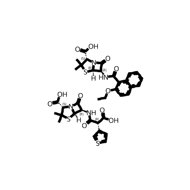 CC1(C)S[C@@H]2[C@H](NC(=O)[C@H](C(=O)O)c3ccsc3)C(=O)N2[C@H]1C(=O)O.CCOc1ccc2ccccc2c1C(=O)N[C@@H]1C(=O)N2[C@@H]1SC(C)(C)[C@@H]2C(=O)O